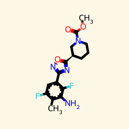 COC(=O)N1CCC[C@@H](c2nc(-c3cc(F)c(C)c(N)c3F)no2)C1